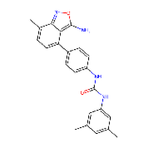 Cc1cc(C)cc(NC(=O)Nc2ccc(-c3ccc(C)c4noc(N)c34)cc2)c1